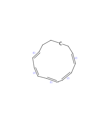 [C]1=C/C=C\C=C\CCCC/C=C\C=C/1